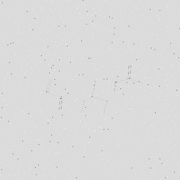 C=C(C)C(=O)OC(C)[C](CO)C(C)OC(=O)C(=C)C